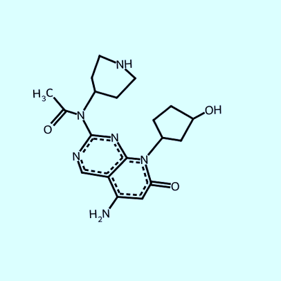 CC(=O)N(c1ncc2c(N)cc(=O)n(C3CCC(O)C3)c2n1)C1CCNCC1